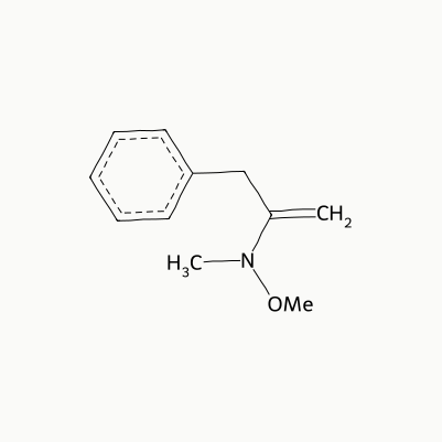 C=C(Cc1ccccc1)N(C)OC